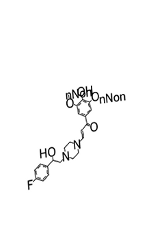 CCCCCCCCCOc1cc(C(=O)C=CN2CCN(CC(O)c3ccc(F)cc3)CC2)cc(OCCCCCCCCC)c1O